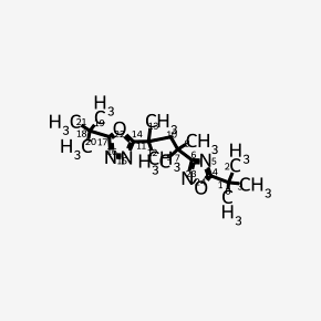 CC(C)(C)c1nc(C(C)(C)CC(C)(C)c2nnc(C(C)(C)C)o2)no1